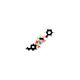 C=Cc1ccc(S(=O)(=O)NS(=O)(=O)C(F)(F)C(=O)OCC2CCCCC2)cc1